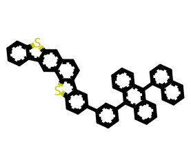 c1cc(-c2ccc3sc4c5cc6c(cc5ccc4c3c2)sc2ccccc26)cc(-c2c3ccccc3c(-c3cccc4ccccc34)c3ccccc23)c1